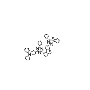 c1ccc(-c2nc(-c3ccc4c(c3)c3ccccc3n4-c3ccccc3)nc(-c3cccc4sc5cc(-c6nc(-c7ccccc7)c7sc8ccccc8c7n6)ccc5c34)n2)cc1